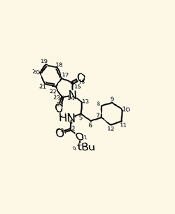 CC(C)(C)OC(=O)NC(CC1CCCCC1)CN1C(=O)c2ccccc2C1=O